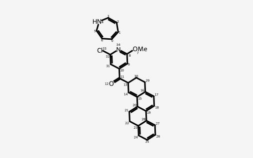 C1=CC=CNC=C1.COc1cc(C(=O)C2C=c3c(ccc4c3=CCc3ccccc3-4)CC2)cc(Cl)n1